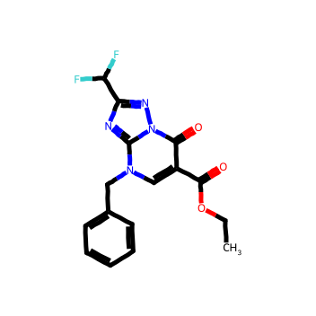 CCOC(=O)c1cn(Cc2ccccc2)c2nc(C(F)F)nn2c1=O